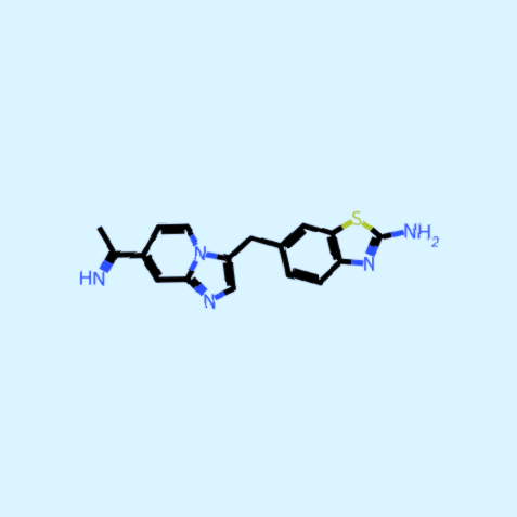 CC(=N)c1ccn2c(Cc3ccc4nc(N)sc4c3)cnc2c1